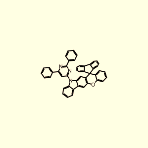 c1ccc(-c2cc(-n3c4ccccc4c4cc5c(cc43)C3(c4ccccc4O5)c4ccccc4-c4ccccc43)nc(-c3ccccc3)n2)cc1